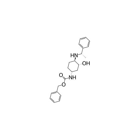 C[C@H](N[C@@H]1CC[C@@H](NC(=O)OCc2ccccc2)C[C@H]1O)c1ccccc1